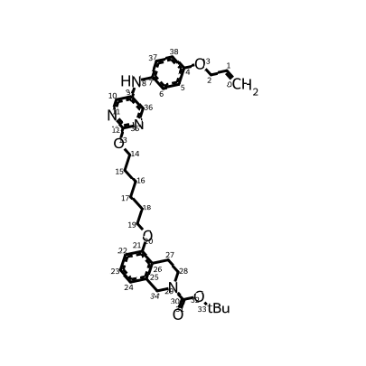 C=CCOc1ccc(Nc2cnc(OCCCCCCOc3cccc4c3CCN(C(=O)OC(C)(C)C)C4)nc2)cc1